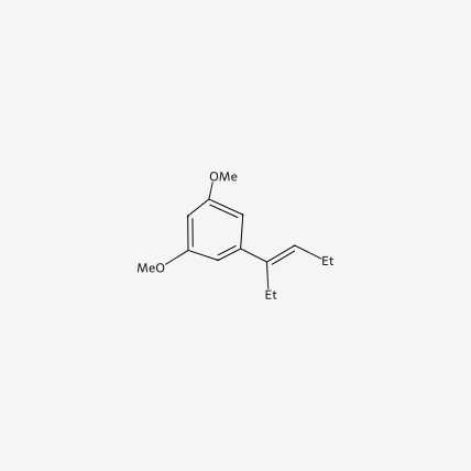 CCC=C(CC)c1cc(OC)cc(OC)c1